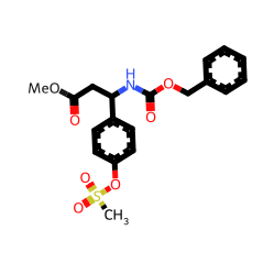 COC(=O)CC(NC(=O)OCc1ccccc1)c1ccc(OS(C)(=O)=O)cc1